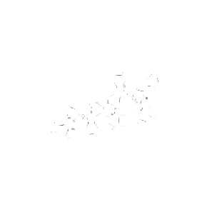 c1ccc(-c2cc(-n3c4ccccc4c4cc(-c5ccc6c(c5)c5ccccc5n6-c5cccc6c5oc5ccccc56)c(-c5ccccc5)cc43)nc(-c3ccccc3)n2)cc1